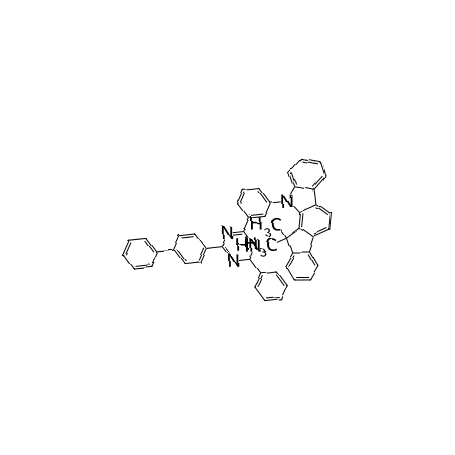 CC1(C)c2ccccc2-c2ccc3c4ccccc4n(-c4cccc(C5=NC(c6ccc(-c7ccccc7)cc6)=NC(c6ccccc6)N5)c4)c3c21